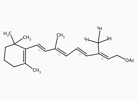 [2H]C([2H])([2H])C(/C=C/C=C(C)/C=C/C1=C(C)CCCC1(C)C)=C\COC(C)=O